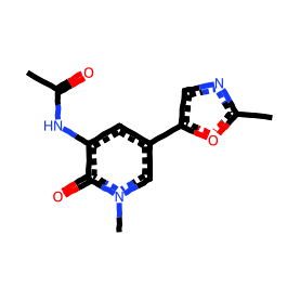 CC(=O)Nc1cc(-c2cnc(C)o2)cn(C)c1=O